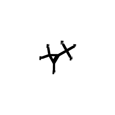 FC1=C(C(F)(F)F)C1(F)F